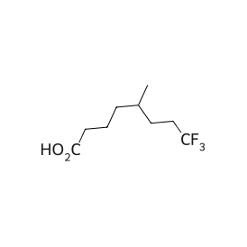 CC(CCCC(=O)O)CCC(F)(F)F